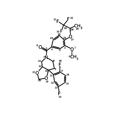 COc1cc(C(=O)N2CCC3(c4cc(F)ccc4F)OCOC3C2)ccc1OC(C)C(F)(F)F